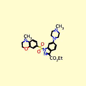 CCOC(=O)c1nn(S(=O)(=O)c2ccc3c(c2)OCCN3C)c2cc(N3CCN(C)CC3)ccc12